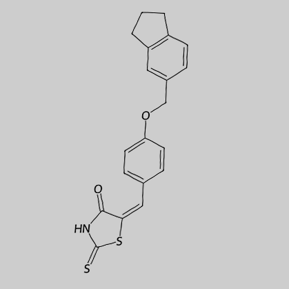 O=C1NC(=S)SC1=Cc1ccc(OCc2ccc3c(c2)CCC3)cc1